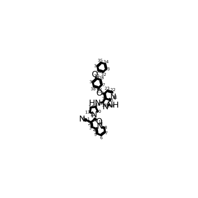 N#C/C(=C/c1ccccn1)C(=O)N1CC[C@@H](Nc2n[nH]c3nccc(Oc4ccc(Oc5ccccc5)cc4)c23)C1